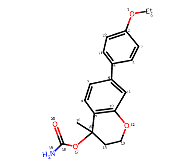 CCOc1ccc(-c2ccc3c(c2)OCCC3(C)OC(N)=O)cc1